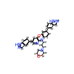 c1cc2c(cc1-c1ccc3[nH]ncc3c1)Oc1cc(-c3ccc4[nH]ncc4c3)cnc1N2CCCN1CCOCC1